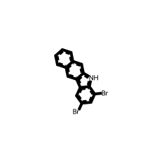 Brc1cc(Br)c2[nH]c3cc4ccccc4cc3c2c1